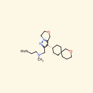 CNCCN(C)Cc1nn2c(c1[C@H]1CC[C@@]3(CCCOC3)CC1)COCC2